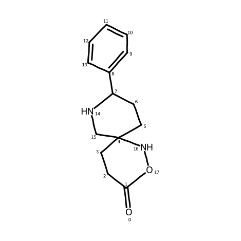 O=C1CCC2(CCC(c3ccccc3)NC2)NO1